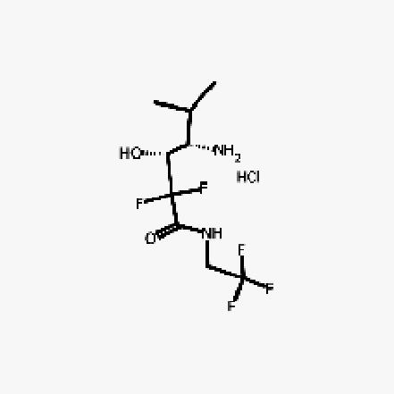 CC(C)[C@H](N)[C@@H](O)C(F)(F)C(=O)NCC(F)(F)F.Cl